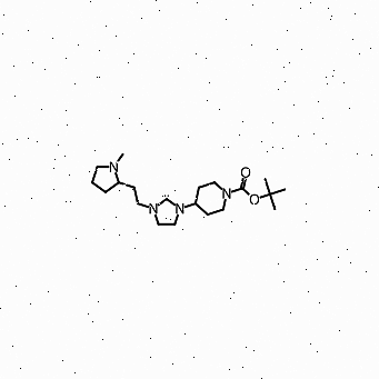 CN1CCCC1CCN1[C]N(C2CCN(C(=O)OC(C)(C)C)CC2)CC1